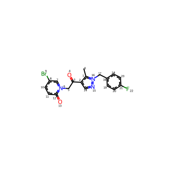 Cc1c(C(=O)Cn2cc(Br)ccc2=O)cnn1Cc1ccc(F)cc1